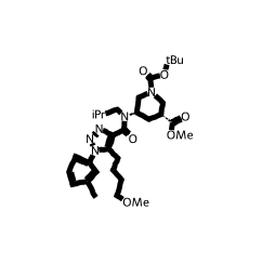 COCCCCc1c(C(=O)N(CC(C)C)[C@H]2C[C@@H](C(=O)OC)CN(C(=O)OC(C)(C)C)C2)nnn1-c1cccc(C)c1